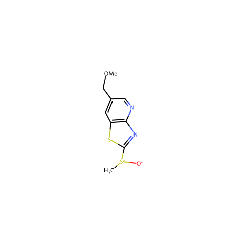 COCc1cnc2nc([S+](C)[O-])sc2c1